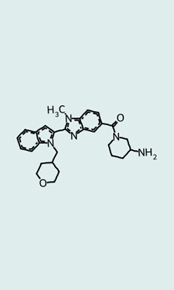 Cn1c(-c2cc3ccccc3n2CC2CCOCC2)nc2cc(C(=O)N3CCCC(N)C3)ccc21